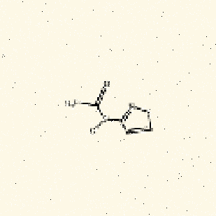 NC(=O)[S+]([O-])c1ccsn1